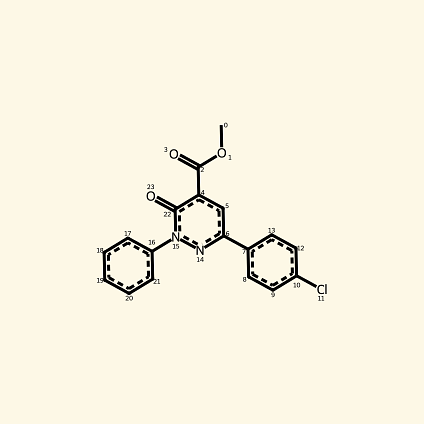 COC(=O)c1cc(-c2ccc(Cl)cc2)nn(-c2ccccc2)c1=O